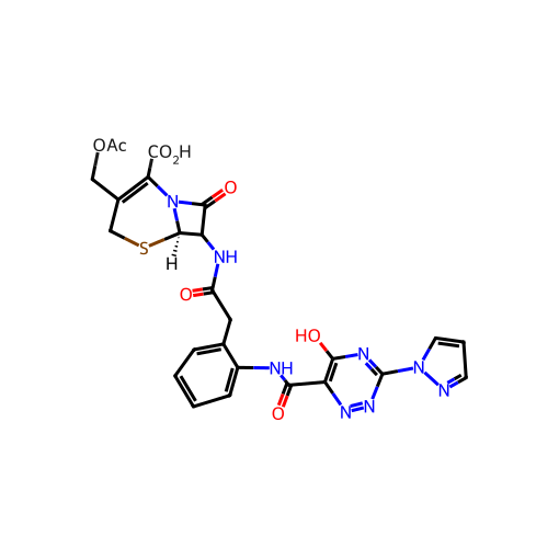 CC(=O)OCC1=C(C(=O)O)N2C(=O)C(NC(=O)Cc3ccccc3NC(=O)c3nnc(-n4cccn4)nc3O)[C@H]2SC1